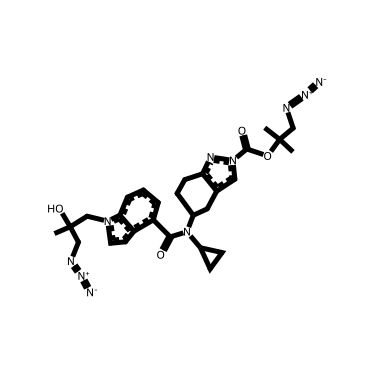 CC(O)(CN=[N+]=[N-])Cn1ccc2c(C(=O)N(C3CC3)C3CCc4nn(C(=O)OC(C)(C)CN=[N+]=[N-])cc4C3)cccc21